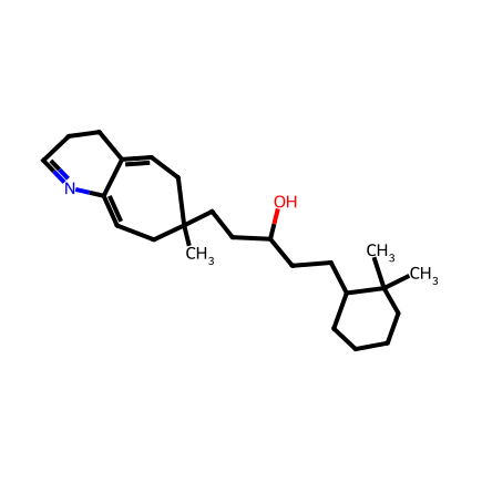 CC1(CCC(O)CCC2CCCCC2(C)C)CC=C2CCC=NC2=CC1